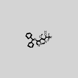 COc1c(C(O)C(F)(F)F)ncn2ncc(N=C(c3ccccc3)c3ccccc3)c12